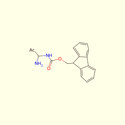 CC(=O)[C](N)NC(=O)OCC1c2ccccc2-c2ccccc21